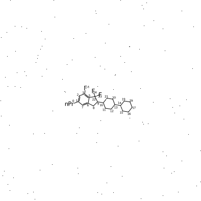 CCCc1cc(F)c2c(c1)CC(C1CCC(C3CCCCC3)CC1)C2(F)F